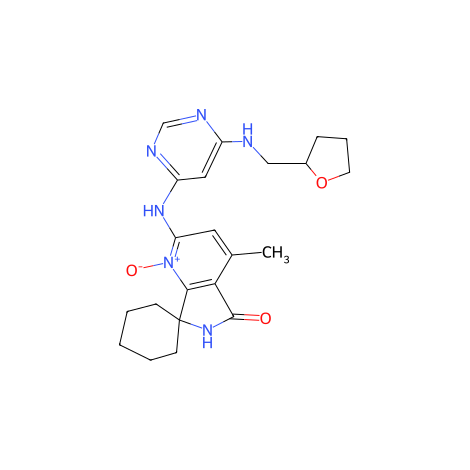 Cc1cc(Nc2cc(NCC3CCCO3)ncn2)[n+]([O-])c2c1C(=O)NC21CCCCC1